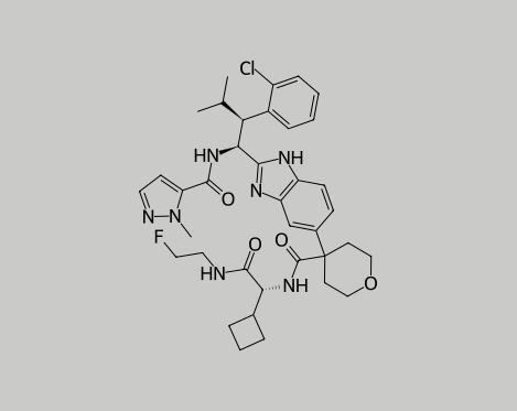 CC(C)[C@@H](c1ccccc1Cl)[C@H](NC(=O)c1ccnn1C)c1nc2cc(C3(C(=O)N[C@@H](C(=O)NCCF)C4CCC4)CCOCC3)ccc2[nH]1